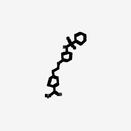 N=C(N)c1ccc(CCOc2cccc(NS(=O)(=O)c3ccccc3)c2)cc1